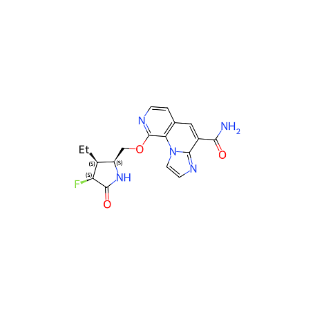 CC[C@@H]1[C@H](F)C(=O)N[C@@H]1COc1nccc2cc(C(N)=O)c3nccn3c12